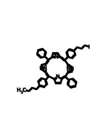 CCCCc1ccc(-c2c3nc(c(-c4ccccc4)c4ccc([nH]4)c(-c4ccc(CCCI)cc4)c4nc(c(-c5ccccc5)c5ccc2[nH]5)C=C4)C=C3)cc1